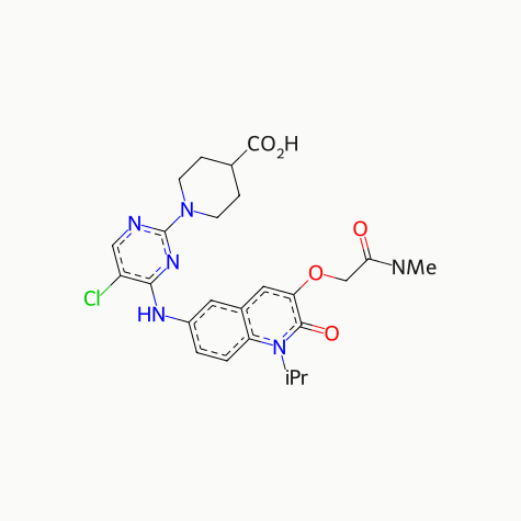 CNC(=O)COc1cc2cc(Nc3nc(N4CCC(C(=O)O)CC4)ncc3Cl)ccc2n(C(C)C)c1=O